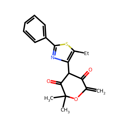 C=C1OC(C)(C)C(=O)C(c2nc(-c3ccccc3)sc2CC)C1=O